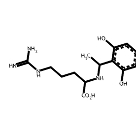 CC(NC(CCCNC(=N)N)C(=O)O)c1c(O)cccc1O